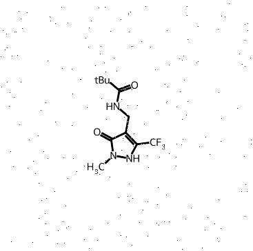 Cn1[nH]c(C(F)(F)F)c(CNC(=O)C(C)(C)C)c1=O